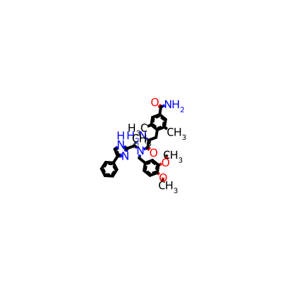 COc1ccc(CN(C(=O)[C@@H](N)Cc2c(C)cc(C(N)=O)cc2C)[C@@H](C)c2nc(-c3ccccc3)c[nH]2)cc1OC